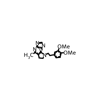 COc1ccc(CCN2CCc3c(C)nc4ncnn4c32)cc1OC